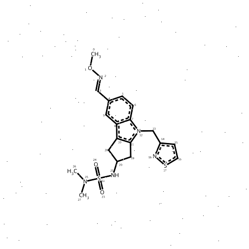 CON=Cc1ccc2c(c1)c1c(n2Cc2ccsn2)CC(NS(=O)(=O)N(C)C)C1